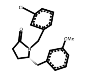 COc1cccc(C[C@@H]2CCC(=O)N2Cc2cccc(Cl)c2)c1